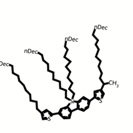 CCCCCCCCCCCCCCCCCCCCc1csc(-c2ccc3c(c2)[Si](CCCCCCCCCCCCCCCCCCCC)(CCCCCCCCCCCCCCCCCCCC)c2cc(-c4cc(C(C)CCCCCCCCCCCCCCCCCCC)cs4)ccc2-3)c1